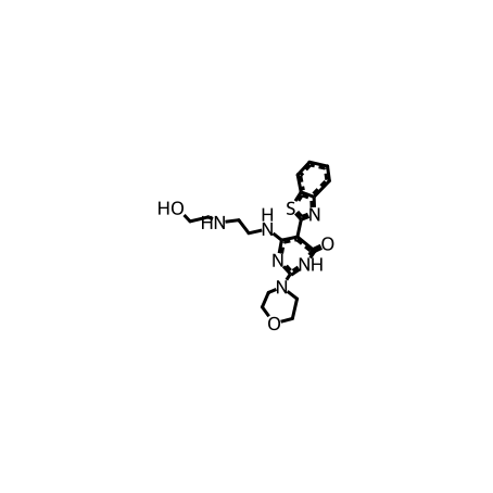 O=c1[nH]c(N2CCOCC2)nc(NCCNCCO)c1-c1nc2ccccc2s1